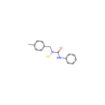 Cc1ccc(CN(S)C(=O)Nc2ccccc2)cc1